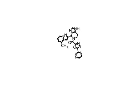 Cc1cccn2nc([C@H]3c4nc[nH]c4CCN3C(=O)c3nnc(-c4cnccn4)o3)cc12